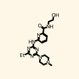 CCc1nc(Nc2cccc(C(=O)NCCO)n2)nc(N2CCN(C)CC2)n1